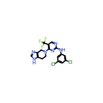 FC(F)(F)c1cnc(Nc2cc(Cl)cc(Cl)c2)nc1N1CCc2[nH]cnc2C1